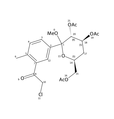 COC1(c2ccc(C)c(C(=O)CCl)c2)O[C@H](COC(C)=O)C[C@H](OC(C)=O)[C@H]1OC(C)=O